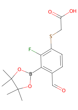 CC1(C)OB(c2c(C=O)ccc(SCC(=O)O)c2F)OC1(C)C